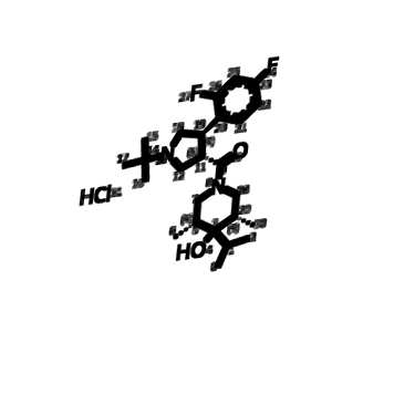 CC(C)C1(O)[C@H](C)CN(C(=O)[C@@H]2CN(C(C)(C)C)C[C@H]2c2ccc(F)cc2F)C[C@@H]1C.Cl